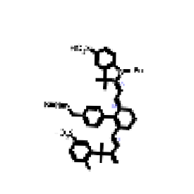 C=C(/C=C/C1=C(c2ccc(CN=[N+]=[N-])cc2)C(=C/C=C2/N(CCCC)c3ccc(S(=O)(=O)O)cc3C2(C)C)/CCC1)C(C)(C)c1cc(S(=O)(=O)O)ccc1C